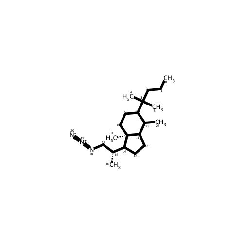 CCCC(C)(C)C1CC[C@@]2(C)C(CCC2[C@H](C)CN=[N+]=[N-])C1C